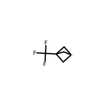 FC(F)(F)C12C[C](C1)C2